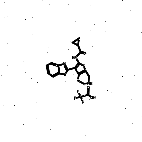 O=C(Nc1sc2c(c1-c1nc3ccccc3s1)CCNC2)C1CC1.O=C(O)C(F)(F)F